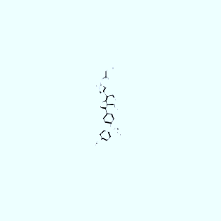 COc1ccc(N(C(N)=O)c2ccc(-c3csc4c(-c5cnn(C[C@H](O)CO)c5)cnc(N)c34)cc2)cc1